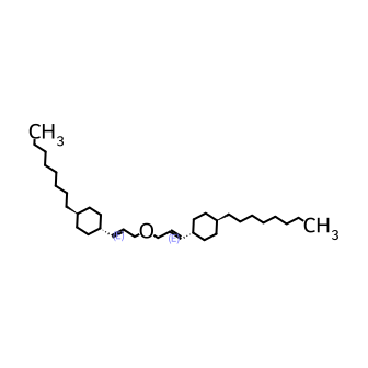 CCCCCCCC[C@H]1CC[C@H](/C=C/COC/C=C/[C@H]2CC[C@H](CCCCCCCC)CC2)CC1